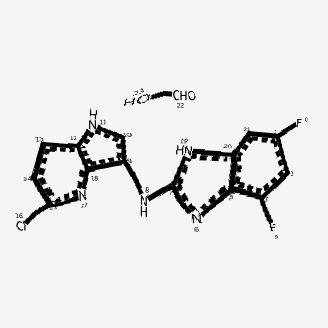 Fc1cc(F)c2nc(Nc3c[nH]c4ccc(Cl)nc34)[nH]c2c1.O=CO